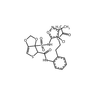 CC(=O)OCCc1ccccc1NC(=O)C1SC=C2OCOC21S(=O)(=O)Nc1onc(C)c1Cl